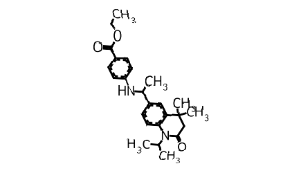 CCOC(=O)c1ccc(NC(C)c2ccc3c(c2)C(C)(C)CC(=O)N3C(C)C)cc1